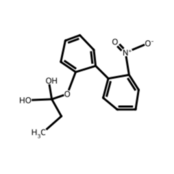 CCC(O)(O)Oc1ccccc1-c1ccccc1[N+](=O)[O-]